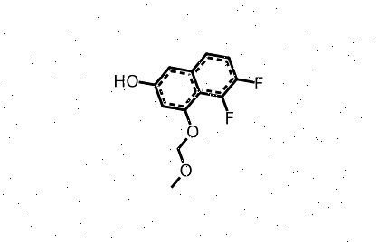 COCOc1cc(O)cc2ccc(F)c(F)c12